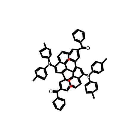 Cc1ccc(N(c2ccc(C)cc2)c2cc(-c3cccc(C(=O)c4ccccc4)c3)c(-c3c(-c4cccc(C(=O)c5ccccc5)c4)cc(N(c4ccc(C)cc4)c4ccc(C)cc4)c4ccccc34)c3ccccc23)cc1